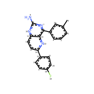 Cc1cccc(-c2nc(N)nc3ccc(-c4ccc(F)cc4)nc23)c1